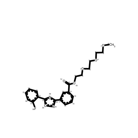 COCCOCCOCCOC(=O)c1cccc(-c2noc(-c3ccccc3F)n2)c1